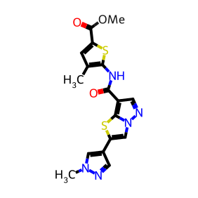 COC(=O)c1cc(C)c(NC(=O)c2cnn3cc(-c4cnn(C)c4)sc23)s1